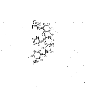 O=C(Oc1cscn1)N(Cc1cccc(OC(F)(F)F)c1)CC1C2CN(Cc3cccc(F)c3)CC21